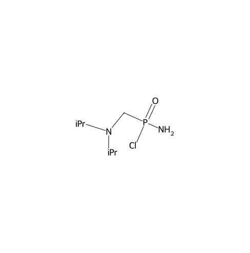 CC(C)N(CP(N)(=O)Cl)C(C)C